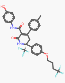 Cc1ccc(C2=C(C(=O)Nc3ccc(O)cc3)C(=O)N[C@@](c3ccc(OCCCC(F)(F)F)cc3)(C(F)(F)F)C2)cc1